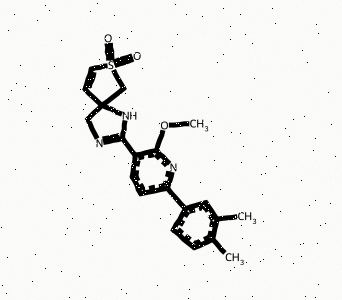 COc1nc(-c2ccc(C)c(C)c2)ccc1C1=NCC2(C=CS(=O)(=O)C2)N1